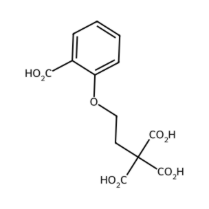 O=C(O)c1ccccc1OCCC(C(=O)O)(C(=O)O)C(=O)O